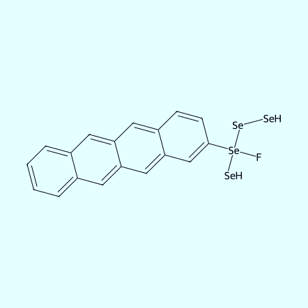 F[Se]([SeH])([Se][SeH])c1ccc2cc3cc4ccccc4cc3cc2c1